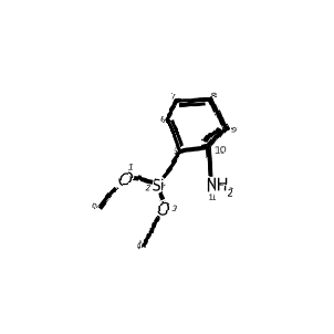 CO[Si](OC)c1ccccc1N